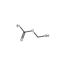 CCC(=O)OCS